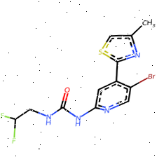 Cc1csc(-c2cc(NC(=O)NCC(F)F)ncc2Br)n1